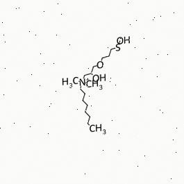 CCCCCCCC[N+](C)(C)CC(O)COCCCSO